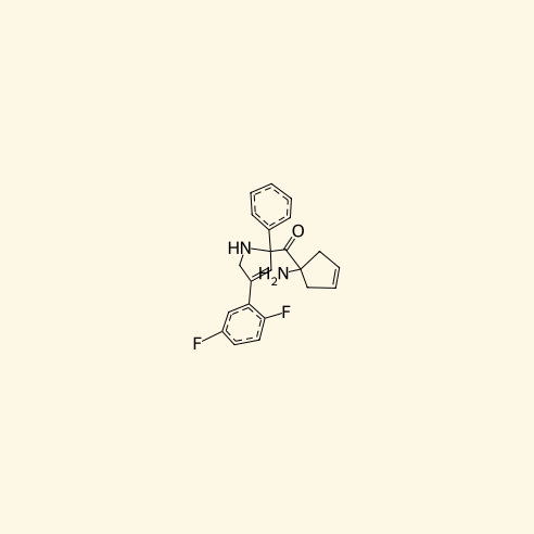 NC1(C(=O)C2(c3ccccc3)C=C(c3cc(F)ccc3F)CN2)CC=CC1